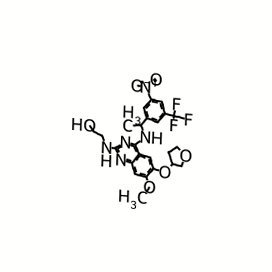 COc1cc2nc(NCCO)nc(NC(C)c3cc([N+](=O)[O-])cc(C(F)(F)F)c3)c2cc1OC1CCOC1